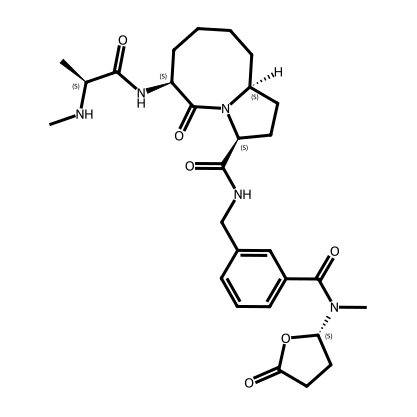 CN[C@@H](C)C(=O)N[C@H]1CCCC[C@H]2CC[C@@H](C(=O)NCc3cccc(C(=O)N(C)[C@@H]4CCC(=O)O4)c3)N2C1=O